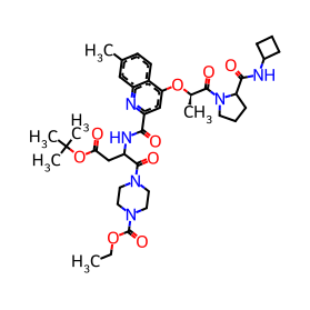 CCOC(=O)N1CCN(C(=O)C(CC(=O)OC(C)(C)C)NC(=O)c2cc(O[C@H](C)C(=O)N3CCCC3C(=O)NC3CCC3)c3ccc(C)cc3n2)CC1